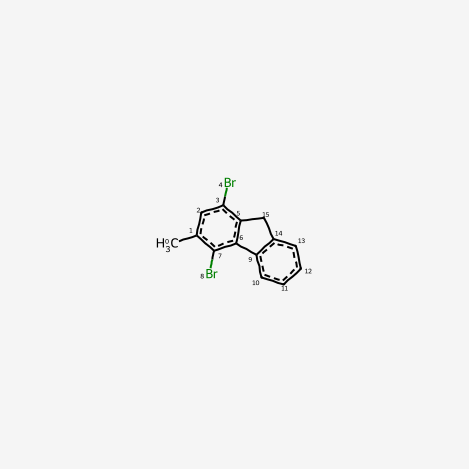 Cc1cc(Br)c2c(c1Br)-c1ccccc1C2